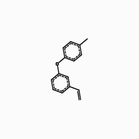 C=Cc1cccc(Oc2ccc(C)cc2)c1